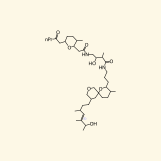 CCCC(=O)CC1CCC(C)C(CC(=O)NCC(O)C(C)C(=O)NCCCC2OC3(CCC2C)COCC(CCC(C)/C=C(\C)C(C)O)C3)O1